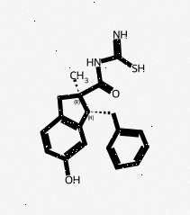 C[C@@]1(C(=O)NC(=N)S)Cc2ccc(O)cc2[C@H]1Cc1ccccc1